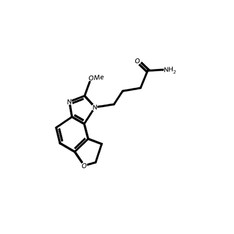 COc1nc2ccc3c(c2n1CCCC(N)=O)CCO3